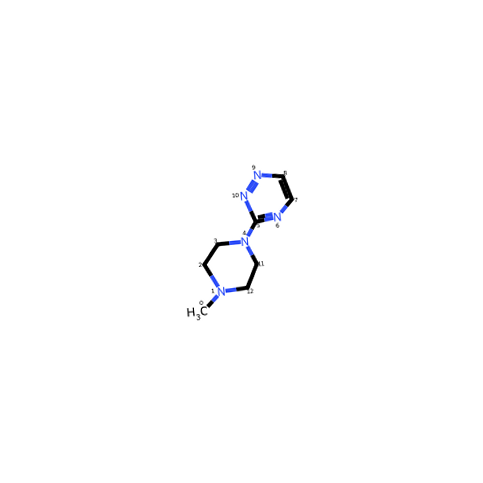 CN1CCN(c2nccnn2)CC1